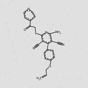 C=CCOc1ccc(-c2c(C#N)c(N)nc(SCC(=O)c3ccncc3)c2C#N)cc1